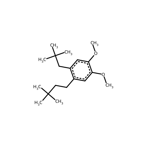 COc1cc(CCC(C)(C)C)c(CC(C)(C)C)cc1OC